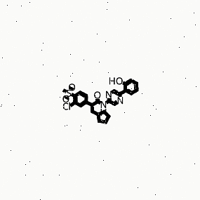 CS(=O)(=O)c1ccc(C(CC2CCCC2)C(=O)Nc2cnc(-c3ccccc3O)cn2)cc1Cl